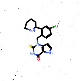 O=c1[nH]c(=S)n(Cc2ccc(Cl)cc2C2CCCCN2)c2cc[nH]c12